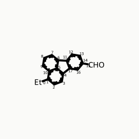 CCc1ccc2c3c(cccc13)-c1ccc(C=O)cc1-2